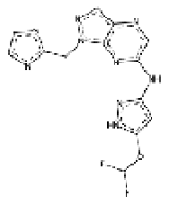 FC(F)Oc1cc(Nc2cnc3cnn(Cc4nccs4)c3n2)n[nH]1